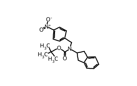 CC(C)(C)OC(=O)N(Cc1ccc([N+](=O)[O-])cc1)C1Cc2ccccc2C1